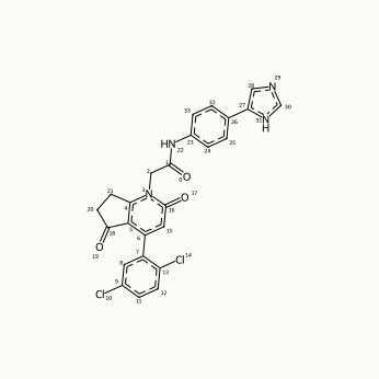 O=C(Cn1c2c(c(-c3cc(Cl)ccc3Cl)cc1=O)C(=O)CC2)Nc1ccc(-c2cnc[nH]2)cc1